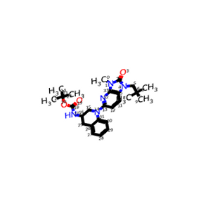 Cn1c(=O)n(CC(C)(C)C)c2ccc(N3CC(NC(=O)OC(C)(C)C)Cc4ccccc43)nc21